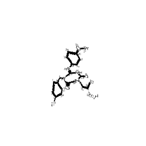 CCc1ccc(Cn2c(=O)n(C[C@H](I)C(=O)O)c(=O)[nH]/c2=N\c2ccc(OC(C)C)cc2)cc1